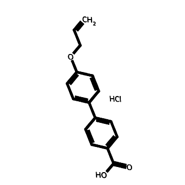 C=CCOc1ccc(-c2ccc(C(=O)O)cc2)cc1.Cl